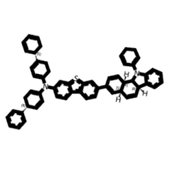 C1=CC[C@H](C2=CC=C(N(C3=CC[C@@H](c4ccccc4)C=C3)c3ccc4c(c3)sc3cc(C5=C[C@@H]6C=C[C@@H]7c8ccccc8N(C8=CCCC=C8)C7[C@@H]6C=C5)ccc34)CC2)C=C1